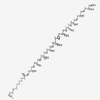 CCCCCCCCCCCC(=O)OCC(O)COCC(O)COCC(O)COCC(O)COCC(O)COCC(O)COCC(O)COCC(O)COCC(O)COCC(O)CO